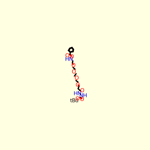 CC(C)(C)OC(=O)NNC(=O)CCOCCOCCOCCOCCNOC(=O)c1ccccc1